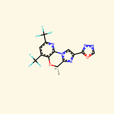 C[C@@H]1Oc2c(C(F)(F)F)cc(C(F)(F)F)nc2-n2cc(-c3nnco3)nc21